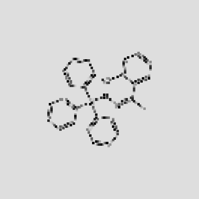 CC(=NO[Si](c1ccccc1)(c1ccccc1)c1ccccc1)c1ccccc1C#N